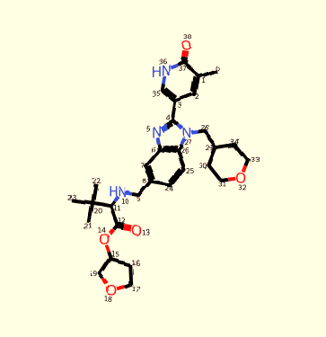 Cc1cc(-c2nc3cc(CNC(C(=O)OC4CCOC4)C(C)(C)C)ccc3n2CC2CCOCC2)c[nH]c1=O